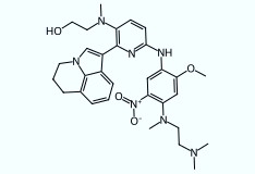 COc1cc(N(C)CCN(C)C)c([N+](=O)[O-])cc1Nc1ccc(N(C)CCO)c(-c2cn3c4c(cccc24)CCC3)n1